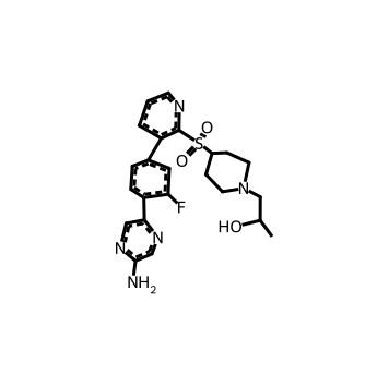 CC(O)CN1CCC(S(=O)(=O)c2ncccc2-c2ccc(-c3cnc(N)cn3)c(F)c2)CC1